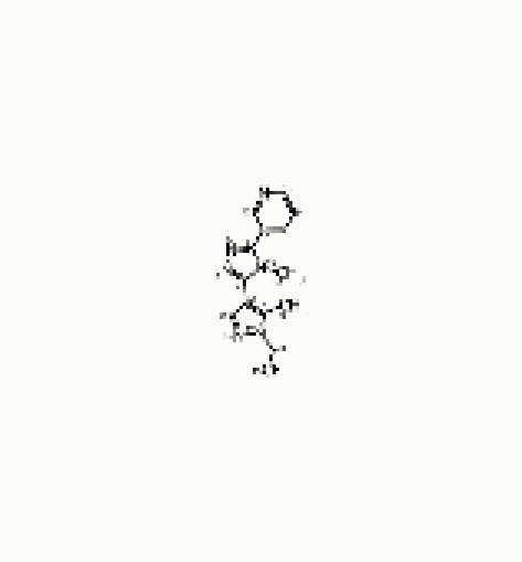 Cc1c(-c2nnc(-c3cccnc3)n2C)cnn1CC(F)(F)F